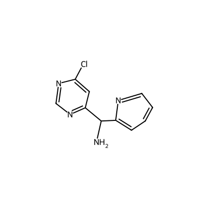 NC(c1ccccn1)c1cc(Cl)ncn1